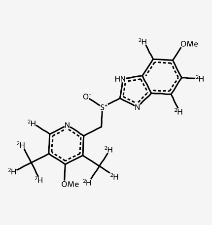 [2H]c1nc(C[S+]([O-])c2nc3c([2H])c([2H])c(OC)c([2H])c3[nH]2)c(C([2H])([2H])[2H])c(OC)c1C([2H])([2H])[2H]